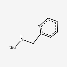 CC(C)(C)NCc1[c]cccc1